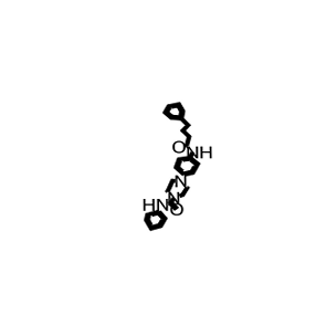 O=C(CCCc1ccccc1)Nc1ccc(N2CCN(C(=O)Nc3ccccc3)CC2)cc1